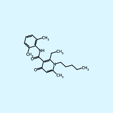 CCCCCn1c(C)cc(=O)c(C(=O)Nc2c(C)cccc2C)c1CC